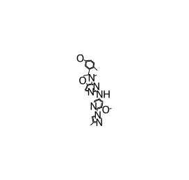 COc1ccc(C)c(C2COc3cnc(Nc4cnc(-n5cnc(C)c5)c(OC)c4)nc3N2C)c1